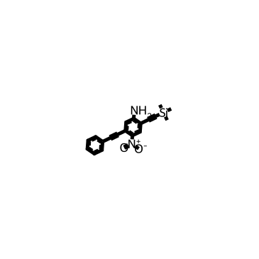 C[Si](C)(C)C#Cc1cc([N+](=O)[O-])c(C#Cc2ccccc2)cc1N